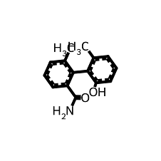 Cc1cccc(O)c1-c1c(C)cccc1C(N)=O